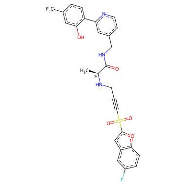 C[C@H](NCC#CS(=O)(=O)c1cc2cc(F)ccc2o1)C(=O)NCc1ccnc(-c2ccc(C(F)(F)F)cc2O)c1